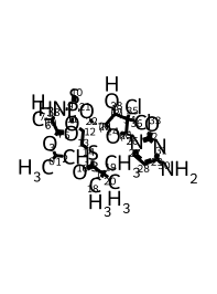 CC(C)OC(=O)[C@@H](C)NP(=S)(OCCSC(=O)C(C)(C)C)OC[C@H]1O[C@@H](n2ccc(N)nc2=O)C(Cl)(Cl)[C@@H]1O